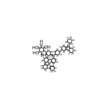 Bc1c(O)c(O)c(O)c(O)c1-c1ccc(N(c2ccc(-c3ccc4c(c3)c3ccccc3n4-c3ccccc3)cc2)c2ccc3c(c2)C(c2ccccc2)(c2ccccc2)c2ccccc2-3)cc1